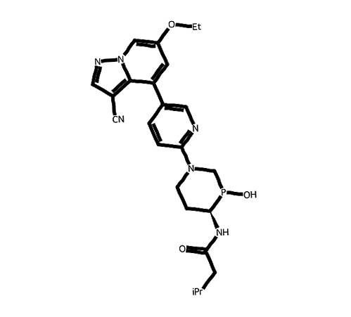 CCOc1cc(-c2ccc(N3CC[C@H](NC(=O)CC(C)C)P(O)C3)nc2)c2c(C#N)cnn2c1